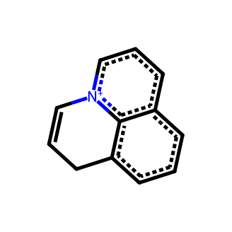 C1=C[n+]2cccc3cccc(c32)C1